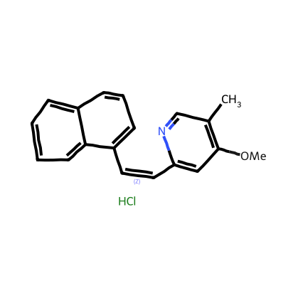 COc1cc(/C=C\c2cccc3ccccc23)ncc1C.Cl